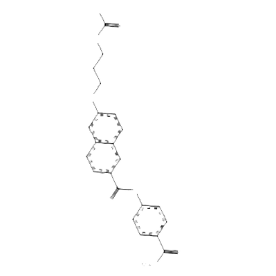 CCC(=O)OCCCOc1ccc2cc(C(=O)Oc3ccc(C(=O)OC)cc3)ccc2c1